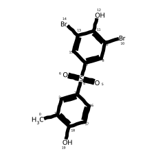 Cc1cc(S(=O)(=O)c2cc(Br)c(O)c(Br)c2)ccc1O